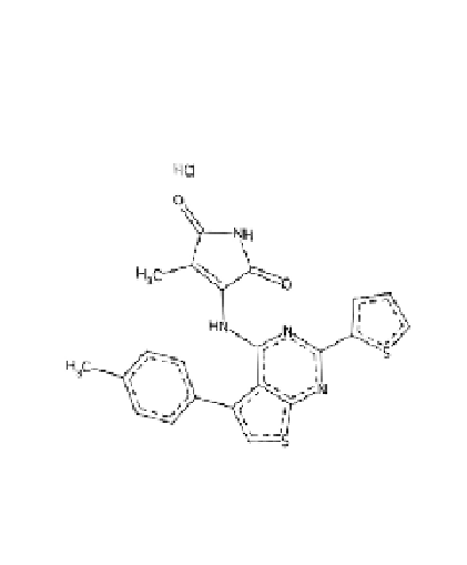 CC1=C(Nc2nc(-c3cccs3)nc3scc(-c4ccc(C)cc4)c23)C(=O)NC1=O.Cl